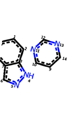 c1ccc2[nH]ncc2c1.c1cncnc1